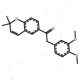 COc1ccc(CC(=O)c2ccc3c(c2)C=CC(C)(C)O3)cc1OC